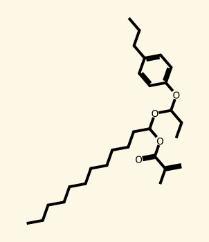 C=C(C)C(=O)OC(CCCCCCCCCCC)OC(CC)Oc1ccc(CCC)cc1